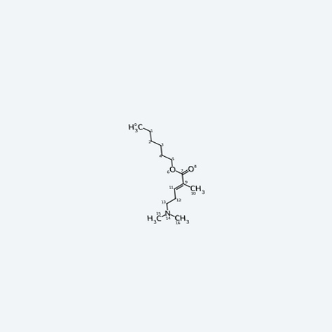 CCCCCCOC(=O)C(C)=CCCN(C)C